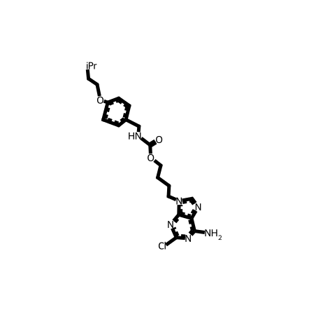 CC(C)CCOc1ccc(CNC(=O)OCCCCn2cnc3c(N)nc(Cl)nc32)cc1